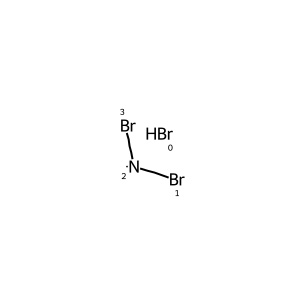 Br.Br[N]Br